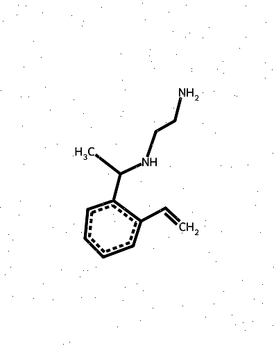 C=Cc1ccccc1C(C)NCCN